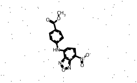 COC(=O)c1ccc(Nc2ccc([N+](=O)[O-])c3nonc23)cc1